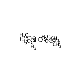 CC(C)CC(O[SiH2]c1ccc([SiH2]OC(CC(C)C)C(C)C)cc1)C(C)C